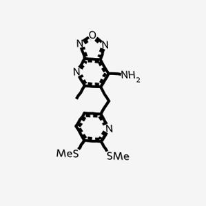 CSc1ccc(Cc2c(C)nc3nonc3c2N)nc1SC